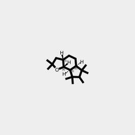 CC1C(C)(C)[C@H]2[C@@H]3OC(C)(C)C[C@@H]3CC[C@H]2C1(C)C